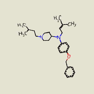 CC(C)=CCN(c1ccc(OCc2ccccc2)cc1)C1CCN(CCC(C)C)CC1